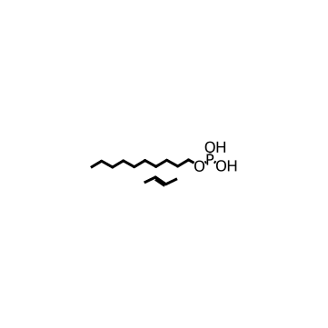 CC=CC.CCCCCCCCCCOP(O)O